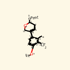 CCCCCC1CC=C(c2ccc(OCC)c(C(F)(F)F)c2C)CO1